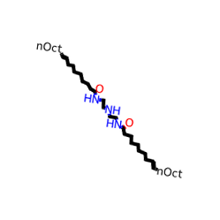 CCCCCCCC/C=C/CCCCCCCC(=O)NCCNCCNC(=O)CCCCCCC/C=C/CCCCCCCC